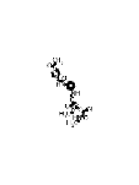 CCNC(=O)C(=C=c1sc(=C=CNc2cccc(NC(=O)CN3CCN(C(=O)CC)CC3)c2)c(=O)n1CC)C#N